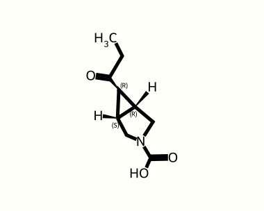 CCC(=O)[C@H]1[C@@H]2CN(C(=O)O)C[C@@H]21